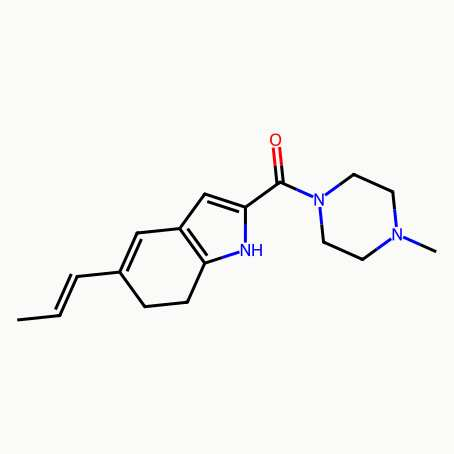 C/C=C/C1=Cc2cc(C(=O)N3CCN(C)CC3)[nH]c2CC1